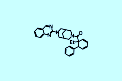 CCC1(C(=O)N2CC3CC(C2)CN(c2ncc4ccccc4n2)C3)C=CC=CC1c1ccccc1